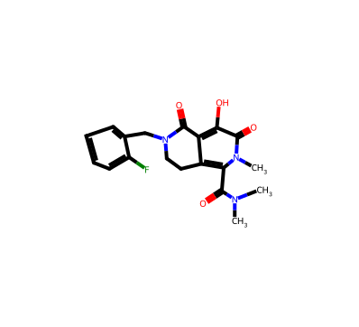 CN(C)C(=O)c1c2c(c(O)c(=O)n1C)C(=O)N(Cc1ccccc1F)CC2